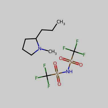 CCCC1CCCN1C.O=S(=O)(NS(=O)(=O)C(F)(F)F)C(F)(F)F